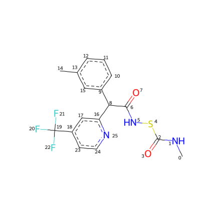 CNC(=O)SNC(=O)C(c1cccc(C)c1)c1cc(C(F)(F)F)ccn1